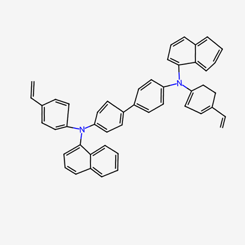 C=CC1=CC=C(N(c2ccc(-c3ccc(N(c4ccc(C=C)cc4)c4cccc5ccccc45)cc3)cc2)c2cccc3ccccc23)CC1